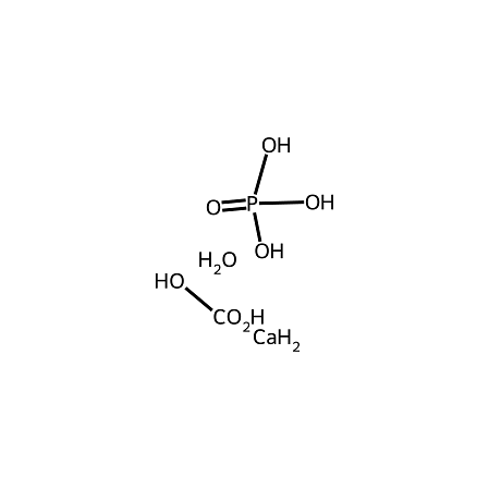 O.O=C(O)O.O=P(O)(O)O.[CaH2]